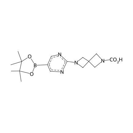 CC1(C)OB(c2cnc(N3CC4(CN(C(=O)O)C4)C3)nc2)OC1(C)C